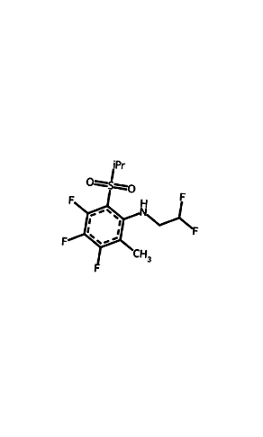 Cc1c(F)c(F)c(F)c(S(=O)(=O)C(C)C)c1NCC(F)F